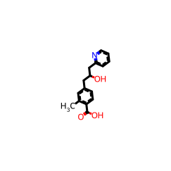 Cc1cc(CC(O)Cc2ccccn2)ccc1C(=O)O